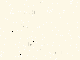 O=C(CN1CCC(O)CC1)Nc1ccc(OC2CC(N3CCCCC3)C2)cc1